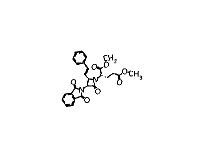 COC(=O)CC[C@@H](C(=O)OC)N1C(=O)[C@@H](N2C(=O)c3ccccc3C2=O)[C@H]1C=Cc1ccccc1